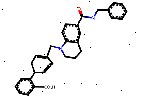 O=C(NCc1ccccc1)c1ccc2c(c1)CCCN2CC1=CCC(c2ccccc2C(=O)O)C=C1